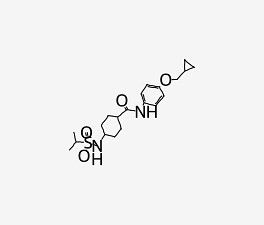 CC(C)S(=O)(=O)NC1CCC(C(=O)Nc2ccc(OCC3CC3)cc2)CC1